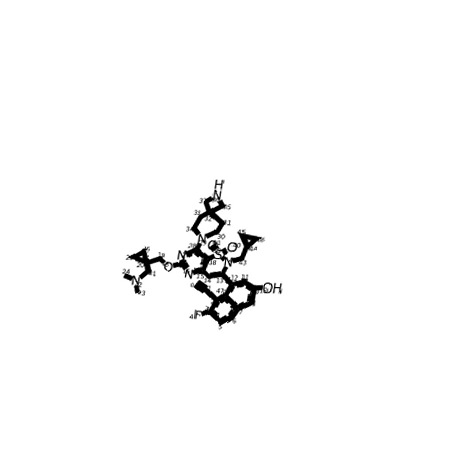 C#Cc1c(F)ccc2cc(O)cc(C3=Cc4nc(OCC5(CN(C)C)CC5)nc(N5CCC6(CC5)CNC6)c4S(=O)(=O)N3CC3CC3)c12